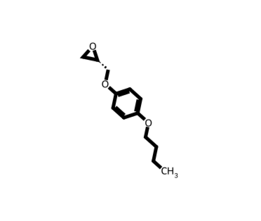 CCCCOc1ccc(OC[C@@H]2CO2)cc1